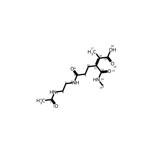 CC(=O)NCCNC(=O)CC/C(C(=O)NI)=C(\C)C(=O)O